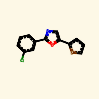 Clc1cccc(-c2ncc(-c3cccs3)o2)c1